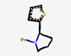 CC(C)N1CCCC1c1cccs1